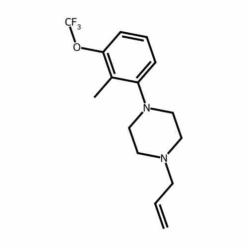 C=CCN1CCN(c2cccc(OC(F)(F)F)c2C)CC1